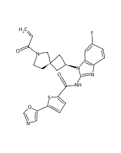 C=CC(=O)N1CC[C@]2(C1)C[C@H](n1c(NC(=O)c3ccc(-c4cnco4)s3)nc3ccc(F)cc31)C2